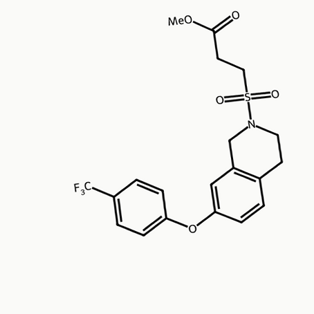 COC(=O)CCS(=O)(=O)N1CCc2ccc(Oc3ccc(C(F)(F)F)cc3)cc2C1